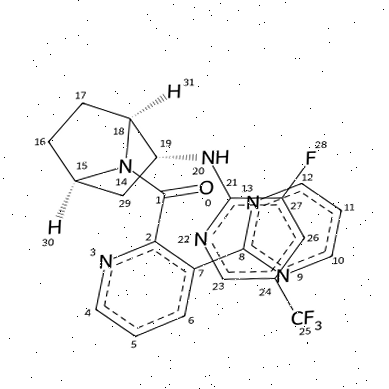 O=C(c1ncccc1-c1ncccn1)N1[C@@H]2CC[C@H]1[C@H](Nc1ncc(C(F)(F)F)cc1F)C2